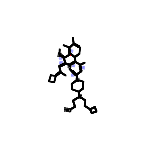 C=C(C)/C(C)=C/C(=N\C)C(=C/C(C)=C1CCC1)/N=C(/C(C)=C\C(=C/C)N1CCC(N(CCO)CCC2CCC2)CC1)C(C)CC